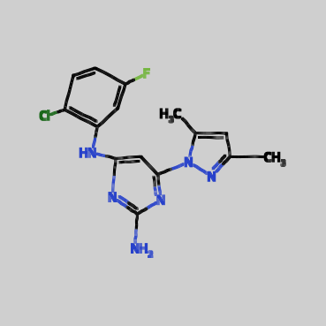 Cc1cc(C)n(-c2cc(Nc3cc(F)ccc3Cl)nc(N)n2)n1